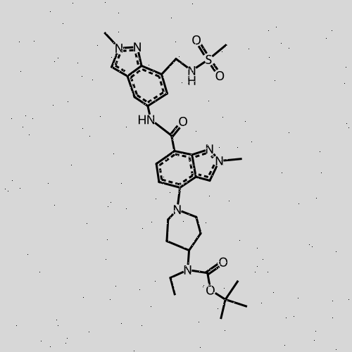 CCN(C(=O)OC(C)(C)C)C1CCN(c2ccc(C(=O)Nc3cc(CNS(C)(=O)=O)c4nn(C)cc4c3)c3nn(C)cc23)CC1